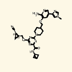 Cn1cnc(-c2cnc(N)c(OCC3CCN(c4nc(OC[C@H]5C[C@H]5C#N)nc(C(=O)NC56CC(C5)C6)n4)CC3)c2)c1